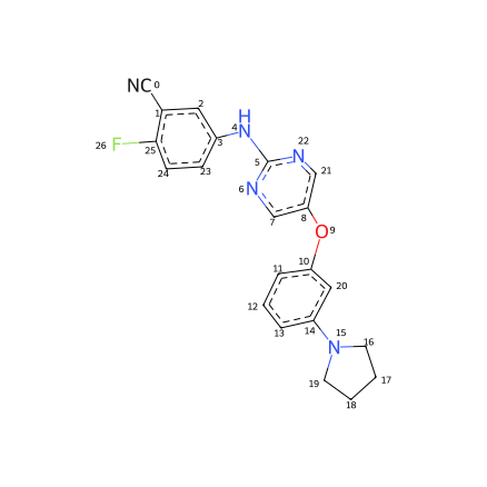 N#Cc1cc(Nc2ncc(Oc3cccc(N4CCCC4)c3)cn2)ccc1F